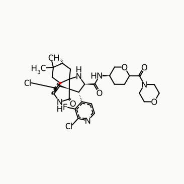 CC1(C)CCC2(CC1)N[C@@H](C(=O)N[C@@H]1CCC(C(=O)N3CCOCC3)OC1)[C@H](c1ccnc(Cl)c1F)[C@]21C(=O)Nc2cc(Cl)ccc21